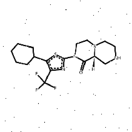 O=C1[C@H]2CNCCN2CCN1c1nc(C(F)(F)F)c(C2CCCCC2)s1